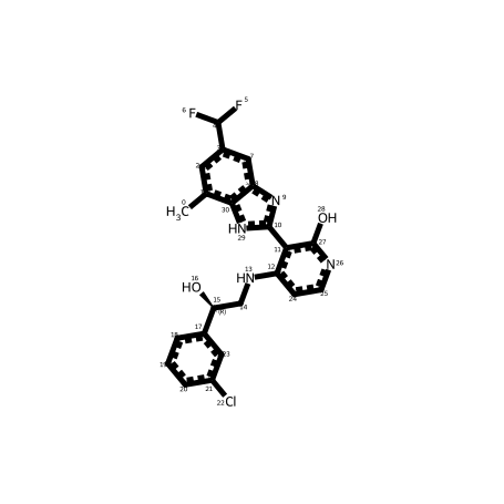 Cc1cc(C(F)F)cc2nc(-c3c(NC[C@H](O)c4cccc(Cl)c4)ccnc3O)[nH]c12